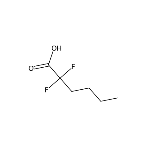 CCCCC(F)(F)C(=O)O